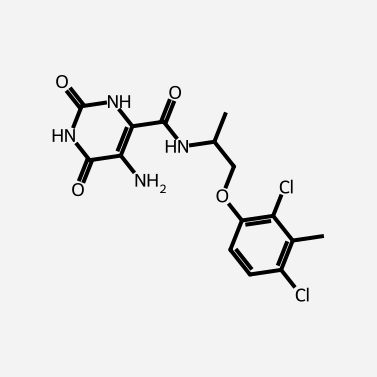 Cc1c(Cl)ccc(OCC(C)NC(=O)c2[nH]c(=O)[nH]c(=O)c2N)c1Cl